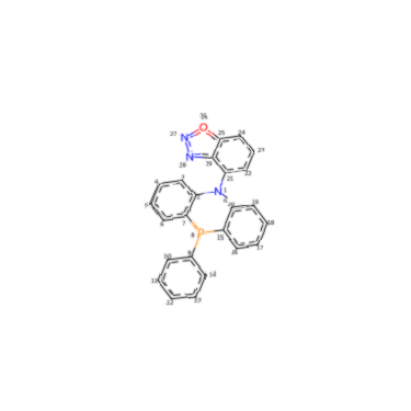 CN(c1ccccc1P(c1ccccc1)c1ccccc1)c1cccc2onnc12